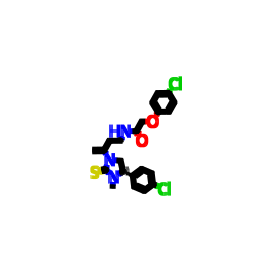 C=C(CCNC(=O)COc1ccc(Cl)cc1)N1C[C@H](c2ccc(Cl)cc2)N(C)C1=S